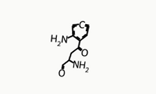 Nc1ccccc1C(=O)CC(N)C=O